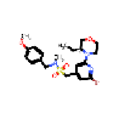 CC[C@H]1COCCN1c1cc(CS(=O)(=O)N(C)Cc2ccc(OC)cc2)cc(Br)n1